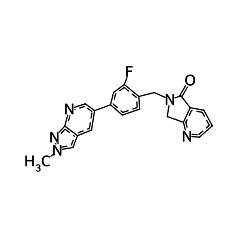 Cn1cc2cc(-c3ccc(CN4Cc5ncccc5C4=O)c(F)c3)cnc2n1